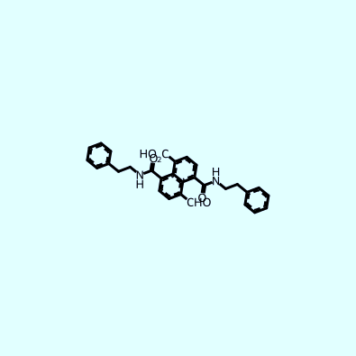 O=Cc1ccc(C(=O)NCCc2ccccc2)c2c(C(=O)O)ccc(C(=O)NCCc3ccccc3)c12